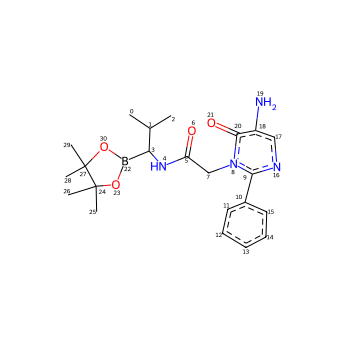 CC(C)C(NC(=O)Cn1c(-c2ccccc2)ncc(N)c1=O)B1OC(C)(C)C(C)(C)O1